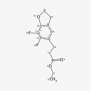 CCOC(=O)CCc1cc2c(c(F)c1F)OCC2